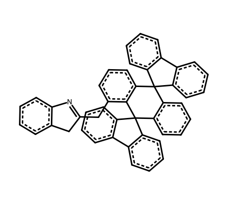 c1ccc2c(c1)CC(Cc1cccc3c1C1(c4ccccc4-c4ccccc41)c1ccccc1C31c3ccccc3-c3ccccc31)=N2